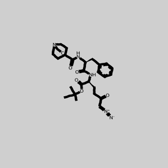 CC(C)(C)OC(=O)[C@H](CCC(=O)C=[N+]=[N-])NC(=O)[C@H](Cc1ccccc1)NC(=O)C12CCN(CC1)CC2